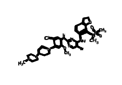 COc1cc(N2CCC(N3CCN(C)CC3)CC2)c(Cl)cc1Nc1ncc(Br)c(Nc2ccc3c(c2N(C)S(C)(=O)=O)OCC3)n1